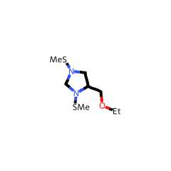 CCOCC1CN(SC)CN1SC